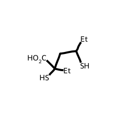 CCC(S)CC(S)(CC)C(=O)O